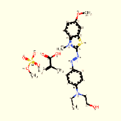 C=C(C)C(=O)O.CCN(CCO)c1ccc(/N=N/c2sc3cc(OC)ccc3[n+]2C)cc1.COS(=O)(=O)[O-]